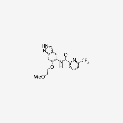 COCCOc1cc2n[nH]cc2cc1NC(=O)c1cccc(C(F)(F)F)n1